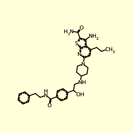 CCCc1cc(N2CCC(NCC(O)c3ccc(C(=O)NCCc4ccccc4)cc3)CC2)nc2sc(C(N)=O)c(N)c12